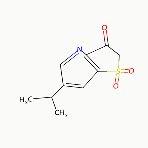 CC(C)c1cnc2c(c1)S(=O)(=O)CC2=O